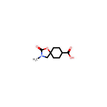 CN1CC2(CCC(C(=O)O)CC2)OC1=O